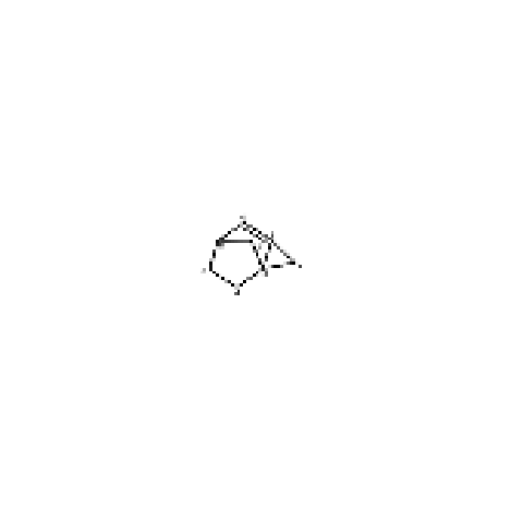 C1=C2CC23CCC1C3